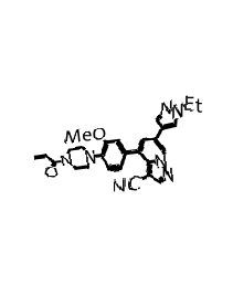 C=CC(=O)N1CCN(c2ccc(-c3cc(-c4cnn(CC)c4)cn4ncc(C#N)c34)cc2OC)CC1